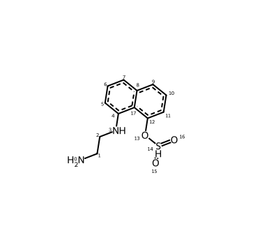 NCCNc1cccc2cccc(O[SH](=O)=O)c12